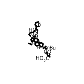 C=C(C)[C@@H]1CC[C@]2(C(=O)N3CCCC3c3ncc(-c4cccnc4)[nH]3)CC[C@]3(C)[C@H](CC[C@@H]4C[C@H](C(C)(C)[C@H](CCCC)OC(=O)CC(C)(C)C(=O)O)CC[C@]43C)[C@@H]12